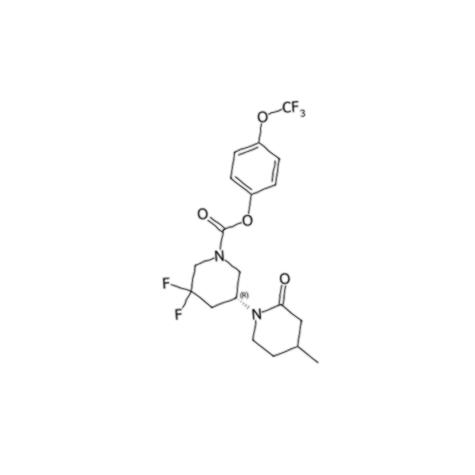 CC1CCN([C@H]2CN(C(=O)Oc3ccc(OC(F)(F)F)cc3)CC(F)(F)C2)C(=O)C1